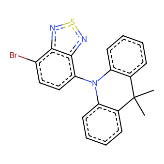 CC1(C)c2ccccc2N(c2ccc(Br)c3nsnc23)c2ccccc21